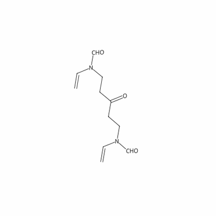 C=CN(C=O)CCC(=O)CCN(C=C)C=O